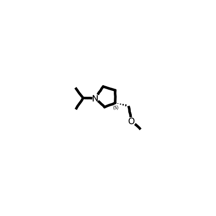 COC[C@H]1CCN(C(C)C)C1